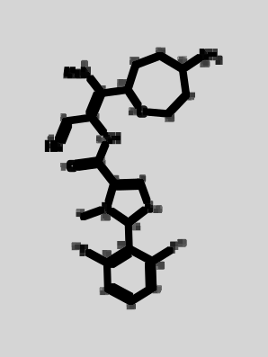 CN/C(=C(\C=N)NC(=O)C1=CSC(c2c(F)cccc2F)N1C)C1CCC(N)CCO1